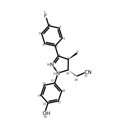 C[C@@H]1C(c2ccc(F)cc2)=NN(c2ccc(O)cc2)[C@H]1CC#N